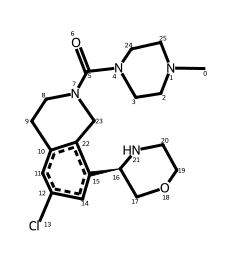 CN1CCN(C(=O)N2CCc3cc(Cl)cc([C@@H]4COCCN4)c3C2)CC1